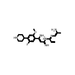 C=C/C(=N\C=C(\C)N)NC(=N)/C=C(\N)c1cc(F)c(C2CCNCC2)cc1OC